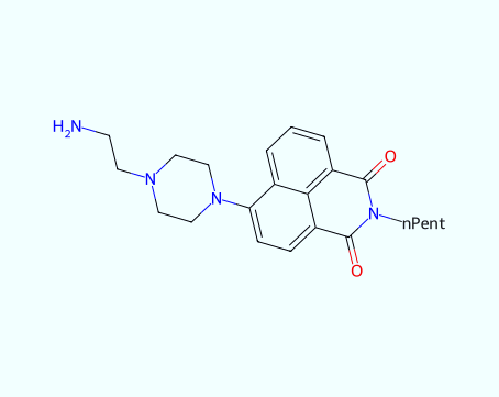 CCCCCN1C(=O)c2cccc3c(N4CCN(CCN)CC4)ccc(c23)C1=O